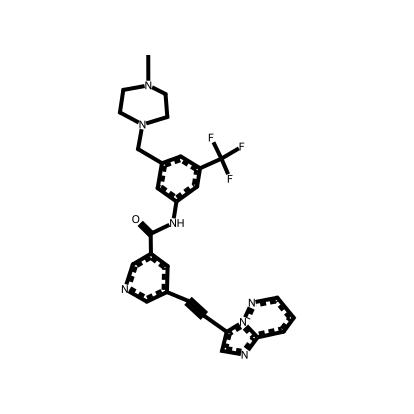 CN1CCN(Cc2cc(NC(=O)c3cncc(C#Cc4cnc5cccnn45)c3)cc(C(F)(F)F)c2)CC1